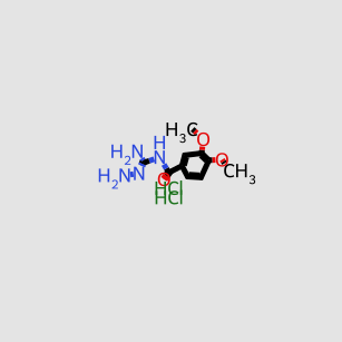 COc1ccc(C(=O)NC(N)=NN)cc1OC.Cl.Cl